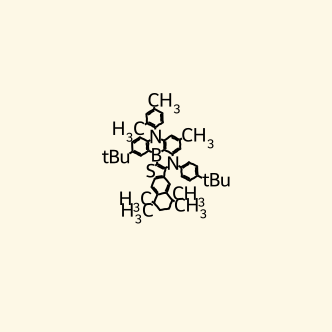 Cc1ccc(N2c3ccc(C(C)(C)C)cc3B3c4sc5cc6c(cc5c4N(c4ccc(C(C)(C)C)cc4)c4cc(C)cc2c43)C(C)(C)CCC6(C)C)c(C)c1